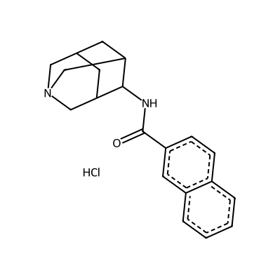 Cl.O=C(NC1C2CC3CC1CN(C3)C2)c1ccc2ccccc2c1